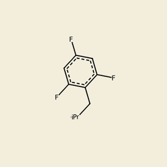 C[C](C)Cc1c(F)cc(F)cc1F